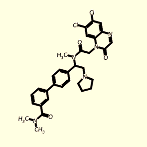 CN(C)C(=O)c1cccc(-c2ccc(C(CN3CCCC3)N(C)C(=O)Cn3c(=O)cnc4cc(Cl)c(Cl)cc43)cc2)c1